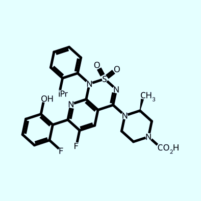 CC(C)c1ccccc1N1c2nc(-c3c(O)cccc3F)c(F)cc2C(N2CCN(C(=O)O)C[C@@H]2C)=NS1(=O)=O